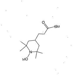 CC(C)(C)C(=O)CCC1CC(C)(C)N(O)C(C)(C)C1